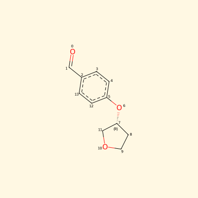 O=Cc1ccc(O[C@@H]2CCOC2)cc1